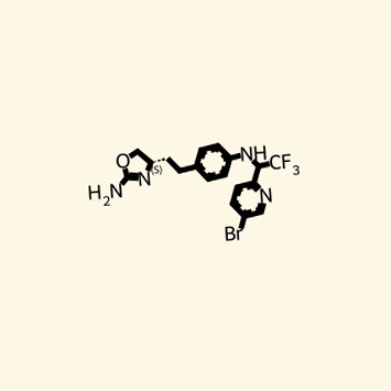 NC1=N[C@@H](CCc2ccc(NC(c3ccc(Br)cn3)C(F)(F)F)cc2)CO1